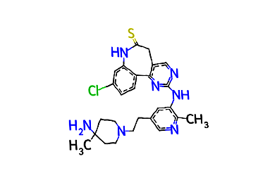 Cc1ncc(CCN2CCC(C)(N)CC2)cc1Nc1ncc2c(n1)-c1ccc(Cl)cc1NC(=S)C2